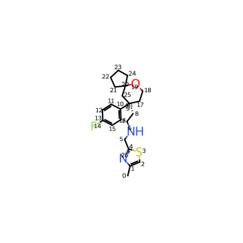 Cc1csc(CNCC[C@@]2(c3ccc(F)cc3)CCOC3(CCCC3)C2)n1